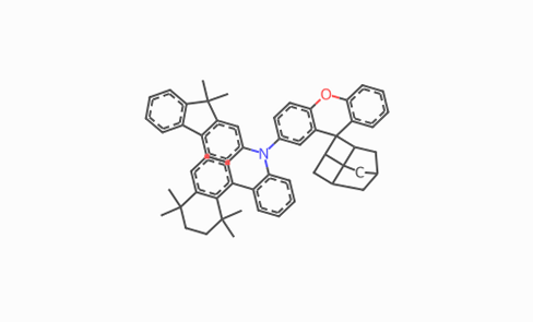 CC1(C)CCC(C)(C)c2c(-c3ccccc3N(c3ccc4c(c3)C(C)(C)c3ccccc3-4)c3ccc4c(c3)C3(c5ccccc5O4)C4CC5CC6CC3C64C5)cccc21